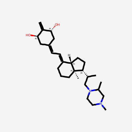 C=C1[C@H](O)CC(=CC=C2CCC[C@]3(C)[C@@H](C(C)CN4CCN(C)CC4C)CC[C@@H]23)C[C@H]1O